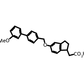 COc1cccc(-c2ccc(COc3ccc4c(c3)CCC4CC(=O)O)cc2)c1